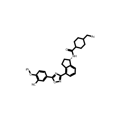 CC(=O)CC1CCC(C(=O)N[C@H]2CCc3c(-c4noc(-c5ccc(OC(C)C)c(C#N)c5)n4)cccc32)CC1